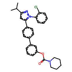 CC(C)c1cc(-c2ccc(-c3cccc(OC(=O)N4CCCCC4)c3)cc2)n(-c2ccccc2Cl)n1